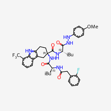 CCC(C)[C@H](NC(=O)Cc1ccccc1F)C(=O)N[C@]1(C(=O)N[C@H](C(=O)NNc2ccc(OC)cc2)C(C)CC)CCc2[nH]c3c(C(F)(F)F)cccc3c2C1